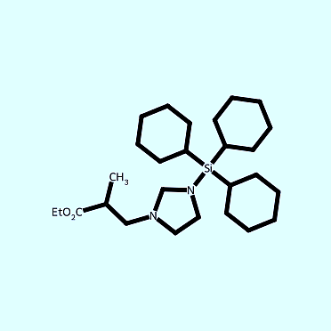 CCOC(=O)C(C)CN1CCN([Si](C2CCCCC2)(C2CCCCC2)C2CCCCC2)C1